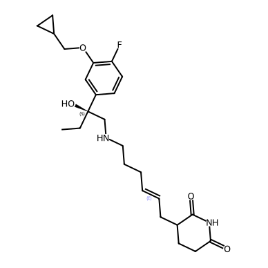 CC[C@@](O)(CNCCC/C=C/CC1CCC(=O)NC1=O)c1ccc(F)c(OCC2CC2)c1